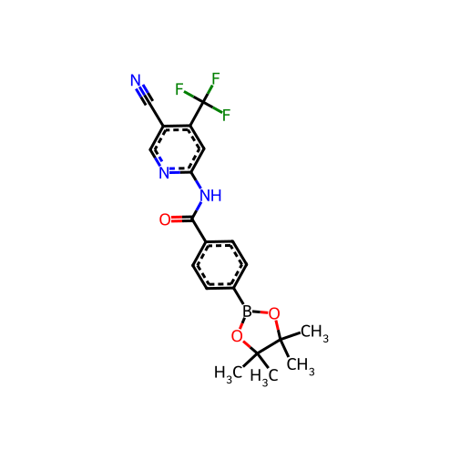 CC1(C)OB(c2ccc(C(=O)Nc3cc(C(F)(F)F)c(C#N)cn3)cc2)OC1(C)C